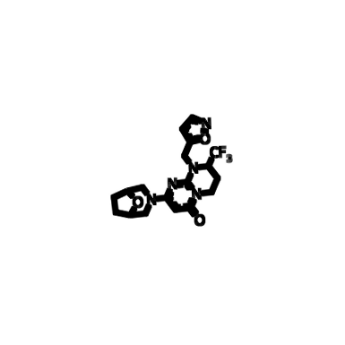 O=c1cc(N2CC3CCC(C2)O3)nc2n1CCC(C(F)(F)F)N2Cc1ccno1